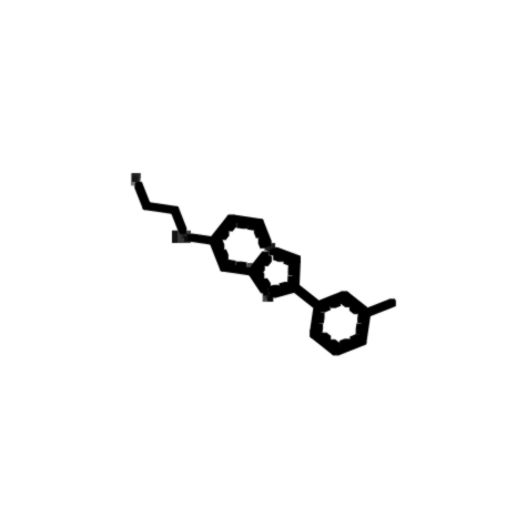 Cc1cccc(-c2cn3ccc(NCCF)cc3n2)c1